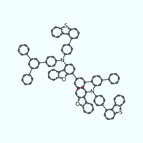 c1ccc(-c2cc(-c3ccccc3)cc(-c3ccc(N(c4ccc(-c5cccc6sc7ccccc7c56)cc4)c4ccc(-c5cccc(-c6ccc(-c7ccccc7)cc6N(c6ccc(-c7cccc8sc9ccccc9c78)cc6)c6cccc7oc8ccccc8c67)c5)c5oc6ccccc6c45)cc3)c2)cc1